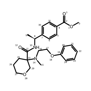 COC(=O)c1ccc([C@H](C)NC(=O)C2(N(C)CCOc3ccccc3)CCCOC2)cc1